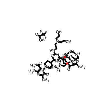 O=C(O)C(F)(F)F.[CH2]NNNCN1CNNNCNC2=NC(N)=C(C1=O)N(N1CCC(c3nc(NCCN(CCO)CCO)nc(C4CCN(N5C(C(N)=O)=C(N)N=C(N)C5Cl)CC4)n3)CC1)C2Cl